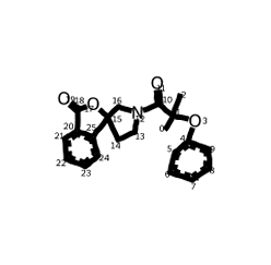 CC(C)(Oc1cc[c]cc1)C(=O)N1CCC2(C1)OC(=O)c1ccccc12